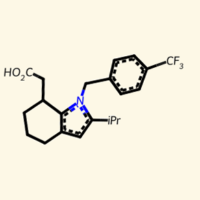 CC(C)c1cc2c(n1Cc1ccc(C(F)(F)F)cc1)C(CC(=O)O)CCC2